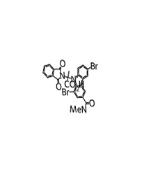 CNC(=O)c1cc(Br)c2c(c1)c1cc(Br)ccc1n2C(C)(C(=O)O)N1C(=O)c2ccccc2C1=O